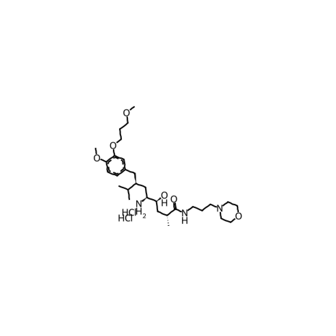 COCCCOc1cc(C[C@@H](C[C@H](N)[C@@H](O)C[C@@H](C)C(=O)NCCCN2CCOCC2)C(C)C)ccc1OC.Cl.Cl